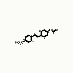 C=COc1ccc(C=Cc2ccc(C(=O)O)cc2)cc1